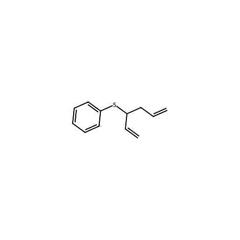 C=CCC(C=C)Sc1[c]cccc1